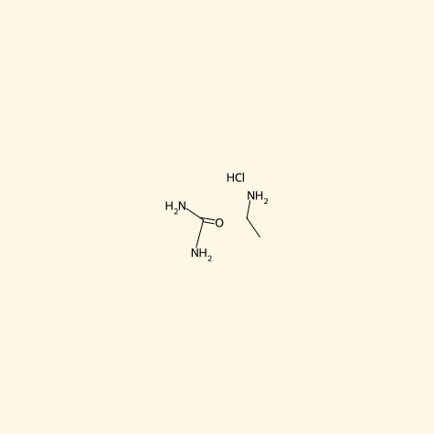 CCN.Cl.NC(N)=O